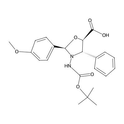 COc1ccc([C@H]2O[C@@H](C(=O)O)[C@H](c3ccccc3)N2NC(=O)OC(C)(C)C)cc1